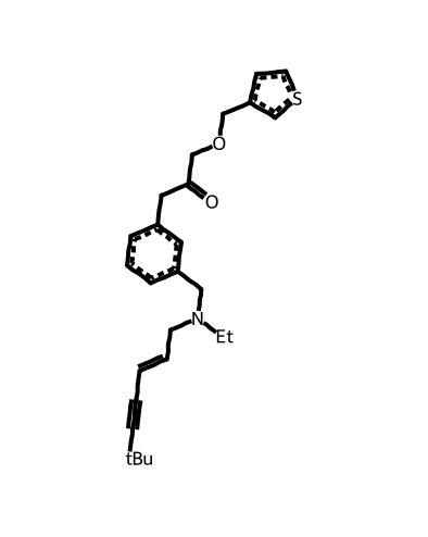 CCN(CC=CC#CC(C)(C)C)Cc1cccc(CC(=O)COCc2ccsc2)c1